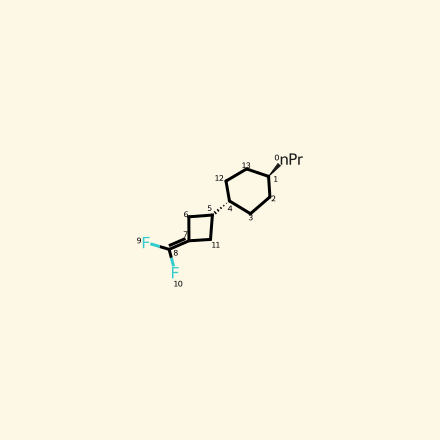 CCC[C@H]1CC[C@H](C2CC(=C(F)F)C2)CC1